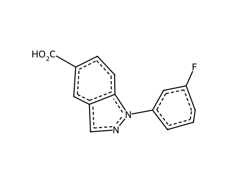 O=C(O)c1ccc2c(cnn2-c2cccc(F)c2)c1